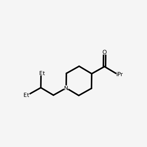 CCC(CC)CN1CCC(C(=O)C(C)C)CC1